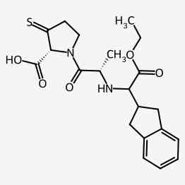 CCOC(=O)C(N[C@@H](C)C(=O)N1CCC(=S)[C@H]1C(=O)O)C1Cc2ccccc2C1